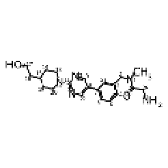 CN(Cc1cccc(-c2cnc(N3CCC(CCO)CC3)nc2)c1)C(=O)CN